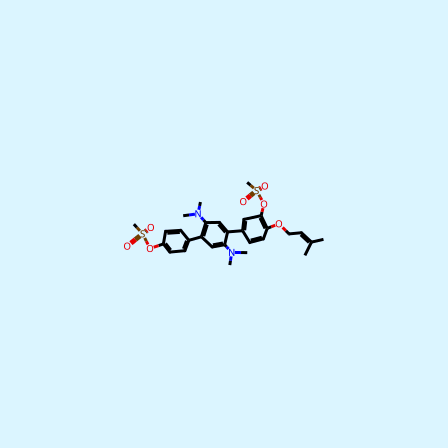 CC(C)=CCOc1ccc(-c2cc(N(C)C)c(-c3ccc(OS(C)(=O)=O)cc3)cc2N(C)C)cc1OS(C)(=O)=O